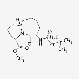 COC(=O)[C@@H]1CCC[C@@H]2CCCC[C@H](NC(=O)OC(C)(C)C)C(=O)N21